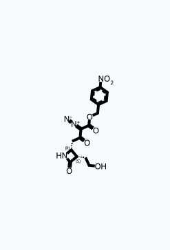 [N-]=[N+]=C(C(=O)C[C@H]1NC(=O)[C@H]1CCO)C(=O)OCc1ccc([N+](=O)[O-])cc1